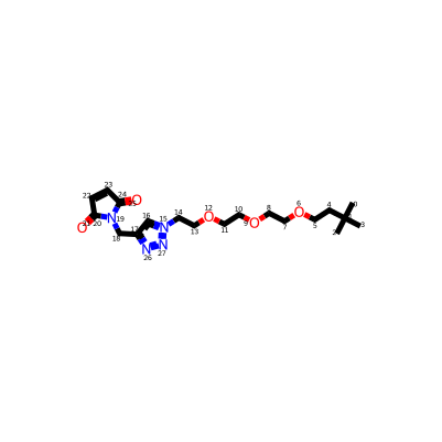 CC(C)(C)CCOCCOCCOCCn1cc(CN2C(=O)C=CC2=O)nn1